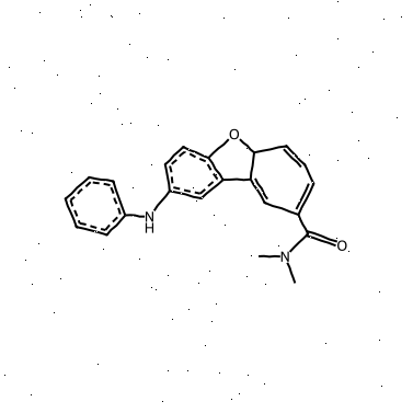 CN(C)C(=O)C1=CC=CC2Oc3ccc(Nc4ccccc4)cc3C2=C1